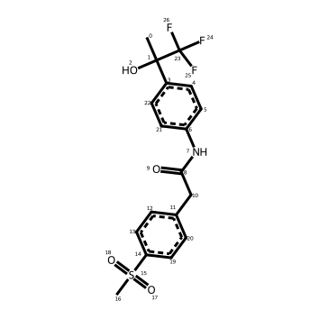 CC(O)(c1ccc(NC(=O)Cc2ccc(S(C)(=O)=O)cc2)cc1)C(F)(F)F